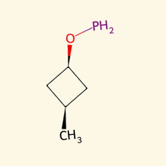 C[C@H]1C[C@@H](OP)C1